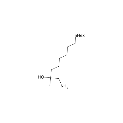 CCCCCCCCCCCCC(C)(O)CN